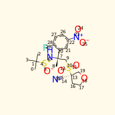 CC(C)(C)[S@@+]([O-])N[C@@](C)(CS(=O)(=O)[C@]1(C#N)CCOC1)c1cc([N+](=O)[O-])ccc1F